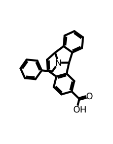 O=C(O)c1ccc2c(c1)C1c3ccccc3C(C=C2)N1Cc1ccccc1